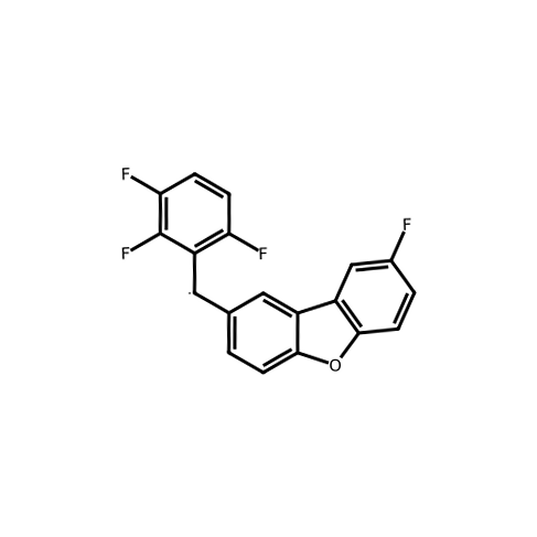 Fc1ccc2oc3ccc([CH]c4c(F)ccc(F)c4F)cc3c2c1